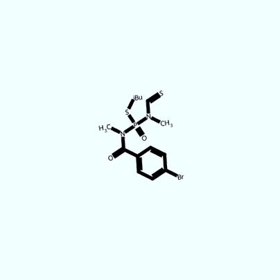 CCC(C)SP(=O)(N(C)C=S)N(C)C(=O)c1ccc(Br)cc1